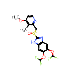 COc1ccnc(C[S+]([O-])c2nc3cc(OC(F)F)c(OC(F)F)cc3[nH]2)c1C